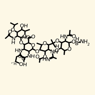 CC(=N)NC1C(OC(C)=O)C(OC2OC(C(=O)O)C(OC3OC(C)C(O)C(OC(C)C)C3NC(C)=O)C(NC(=O)C[C@@H](C)O)C2NC(C)=O)C(C)OC1C(C)(C)OC1C(O)C(C)OC(OBN)C1NC(C)=O